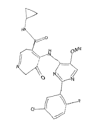 COc1cnc(-c2cc(Cl)ccc2F)nc1NC1=C(C(=O)NC2CC2)C=NCC1=O